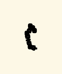 Cc1ccc(OC2=CC=C(C(C)(C)c3ccc(Oc4ccc(N5C(=O)C=CC5=O)cc4)cc3)CC2)cc1